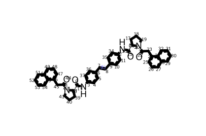 O=C(Nc1ccc(/C=C/c2ccc(NC(=O)[C@@H]3CCCN3C(=O)Cc3cccc4ccccc34)cc2)cc1)[C@@H]1CCCN1C(=O)Cc1cccc2ccccc12